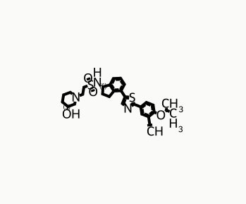 C#Cc1cc(-c2ncc(-c3cccc4c3CC[C@@H]4NS(=O)(=O)CCN3CCC[C@H](O)C3)s2)ccc1OC(C)C